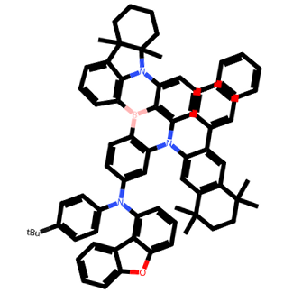 CC(C)(C)c1ccc(N(c2ccc3c(c2)N(c2cc4c(cc2-c2ccccc2)C(C)(C)CCC4(C)C)c2cc(-c4ccccc4)cc4c2B3c2cccc3c2N4C2(C)CCCCC32C)c2cccc3oc4ccccc4c23)cc1